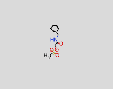 CS(=O)(=O)OCC(=O)NCc1ccccc1